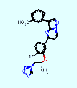 C[C@@H](Cn1cnnn1)Oc1cc(-c2ccn3ncc(-c4cccc(C(=O)O)c4)c3n2)ccc1C#N